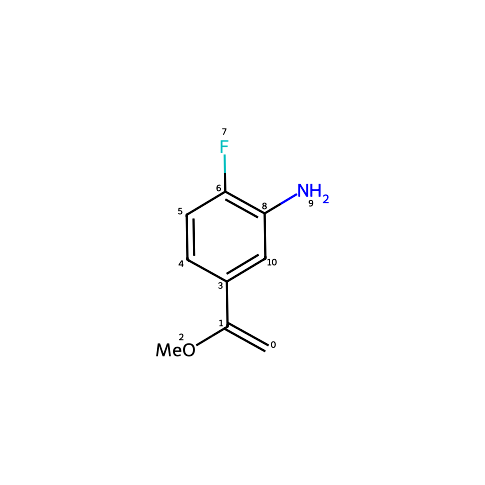 C=C(OC)c1ccc(F)c(N)c1